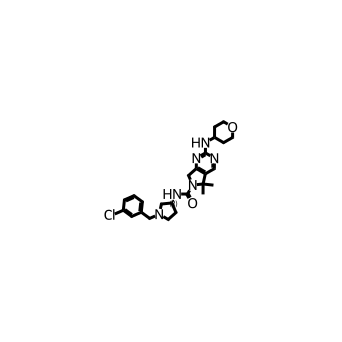 CC1(C)c2cnc(NC3CCOCC3)nc2CN1C(=O)N[C@@H]1CCN(Cc2cccc(Cl)c2)C1